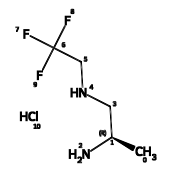 C[C@@H](N)CNCC(F)(F)F.Cl